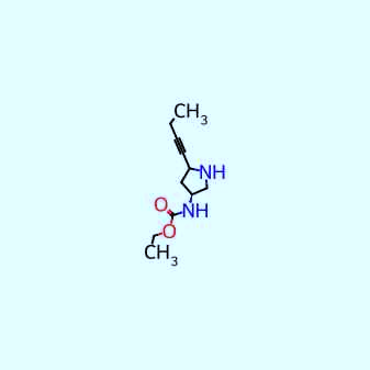 CCC#CC1C[C@H](NC(=O)OCC)CN1